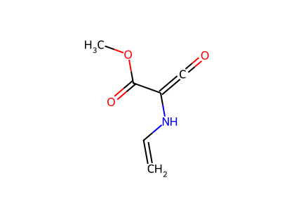 C=CNC(=C=O)C(=O)OC